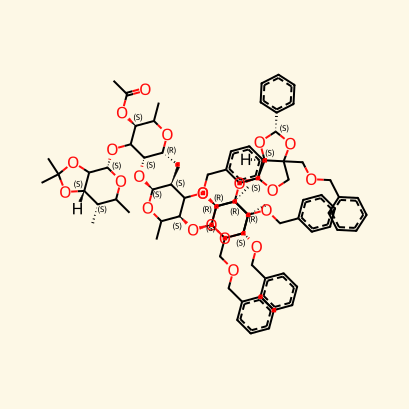 CC(=O)O[C@H]1C(C)O[C@H](C)[C@H](O[C@@H]2OC(C)[C@H](O[C@@H]3OC[C@@H](C)C(O[C@@H]4OCC5(COCc6ccccc6)O[C@@H](c6ccccc6)O[C@H]45)[C@H]3OCc3ccccc3)C(O[C@@H]3OC(COCc4ccccc4)[C@@H](OCc4ccccc4)C(OCc4ccccc4)[C@H]3C)[C@@H]2C)C1O[C@@H]1OC(C)[C@H](C)[C@@H]2OC(C)(C)OC12